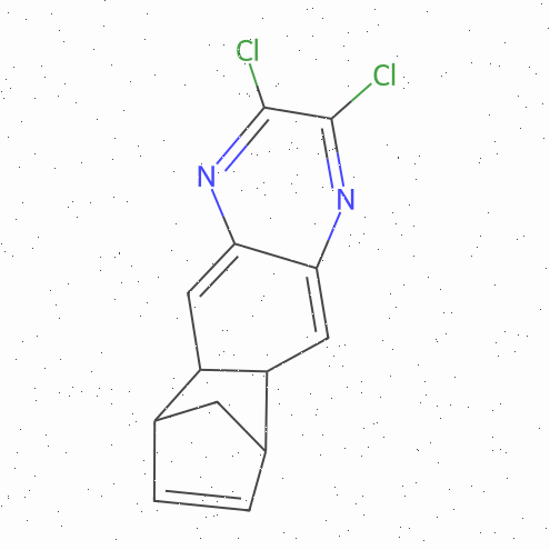 Clc1nc2c(nc1Cl)=CC1C3C=CC(C3)C1C=2